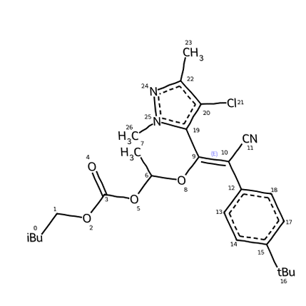 CCC(C)COC(=O)OC(C)O/C(=C(/C#N)c1ccc(C(C)(C)C)cc1)c1c(Cl)c(C)nn1C